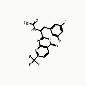 O=C(O)NC(Cc1cc(F)cc(F)c1)c1nc2nc(C(F)(F)F)ccc2c(=O)o1